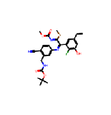 CCc1cc(O)c(F)c(C(=Nc2ccc(C#N)c(CNC(=O)OC(C)(C)C)c2)/C(=N/C(=O)OC)SC)c1